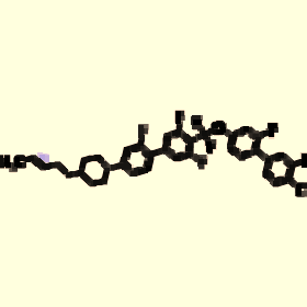 C/C=C/CCC1CCC(c2ccc(-c3cc(F)c(C(F)(F)Oc4ccc(-c5ccc(C#N)c(F)c5)c(F)c4)c(F)c3)c(F)c2)CC1